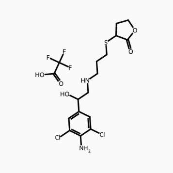 Nc1c(Cl)cc(C(O)CNCCCSC2CCOC2=O)cc1Cl.O=C(O)C(F)(F)F